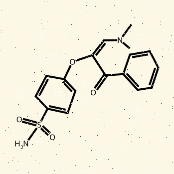 CN(C)/C=C(/Oc1ccc(S(N)(=O)=O)cc1)C(=O)c1ccccc1